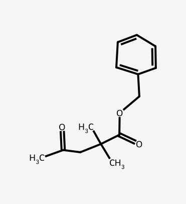 CC(=O)CC(C)(C)C(=O)OCc1ccccc1